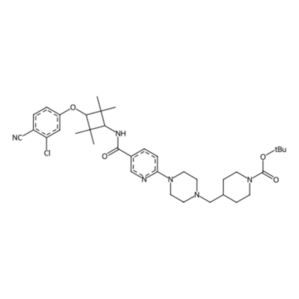 CC(C)(C)OC(=O)N1CCC(CN2CCN(c3ccc(C(=O)NC4C(C)(C)C(Oc5ccc(C#N)c(Cl)c5)C4(C)C)cn3)CC2)CC1